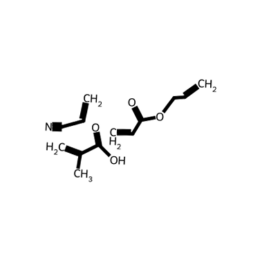 C=C(C)C(=O)O.C=CC#N.C=CCOC(=O)C=C